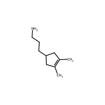 CC1=C(C)CC(CCCN)C1